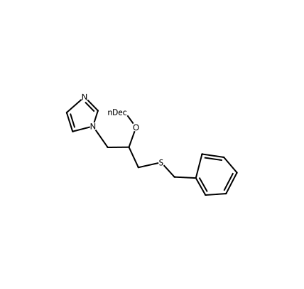 CCCCCCCCCCOC(CSCc1ccccc1)Cn1ccnc1